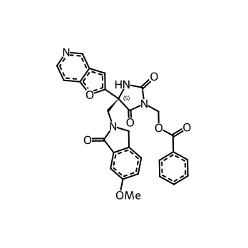 COc1ccc2c(c1)C(=O)N(C[C@@]1(c3cc4cnccc4o3)NC(=O)N(COC(=O)c3ccccc3)C1=O)C2